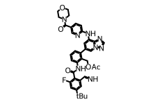 CC(=O)OCc1c(NC(=O)c2c(F)cc(C(C)(C)C)cc2C=N)cccc1-c1cc(Nc2ccc(C(=O)N3CCOCC3)cn2)c2ncnn2c1